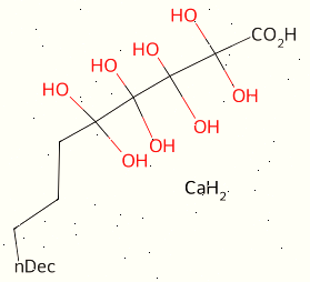 CCCCCCCCCCCCCC(O)(O)C(O)(O)C(O)(O)C(O)(O)C(=O)O.[CaH2]